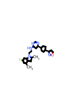 Cc1cc(F)cc2c1cc(C)n2CCNc1cc(-c2ccc(-c3ccon3)cc2)ncn1